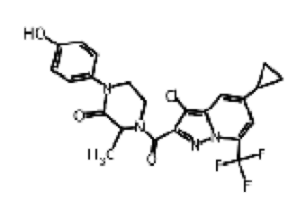 CC1C(=O)N(c2ccc(O)cc2)CCN1C(=O)c1nn2c(C(F)(F)F)cc(C3CC3)cc2c1Cl